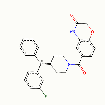 O=C1COc2ccc(C(=O)N3CCC([C@H](c4ccccc4)c4cccc(F)c4)CC3)cc2N1